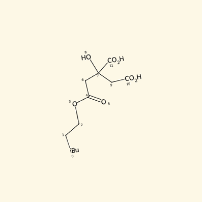 CCC(C)CCOC(=O)CC(O)(CC(=O)O)C(=O)O